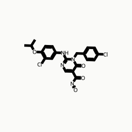 CC(C)Oc1ccc(Nc2ncc(C(=O)N=O)c(=O)n2Cc2ccc(Cl)cc2)cc1Cl